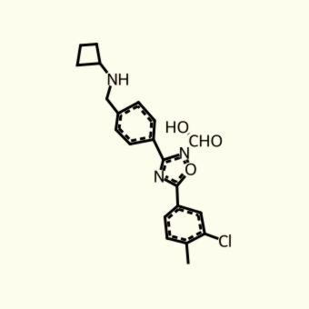 Cc1ccc(-c2nc(-c3ccc(CNC4CCC4)cc3)no2)cc1Cl.O=CO